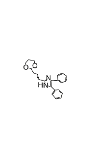 C(=Cc1nc(-c2ccccc2)c(-c2ccccc2)[nH]1)CC1OCCCO1